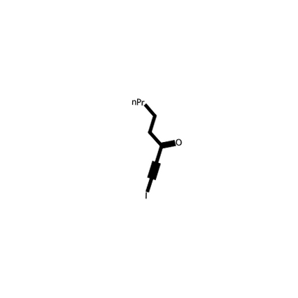 CCCCCC(=O)C#CI